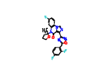 CC1(n2c(=O)c3c(-c4noc(-c5ccc(F)cc5F)n4)ncn3c3ccc(F)cc32)CCCO1